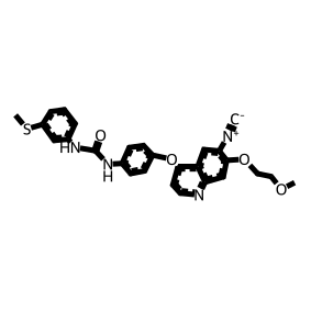 [C-]#[N+]c1cc2c(Oc3ccc(NC(=O)Nc4cccc(SC)c4)cc3)ccnc2cc1OCCOC